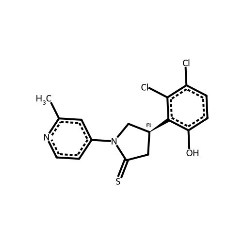 Cc1cc(N2C[C@@H](c3c(O)ccc(Cl)c3Cl)CC2=S)ccn1